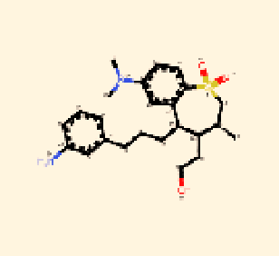 C[C@@H]1CS(=O)(=O)c2ccc(N(C)C)cc2C(CCCc2cccc(N)c2)C1CCO